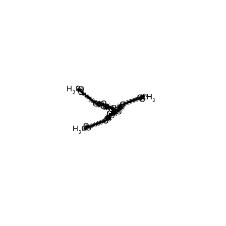 C=CC(=O)OCCCCCCCCCCCOc1ccc(C(=O)Oc2ccc(COC(=O)c3cc(OC(=O)c4ccc(OCCCCCCCCCCCOC(=O)C=C)cc4)ccc3OC(=O)c3ccc(OCCCCCCCCCCCOC(=O)C=C)cc3)cc2)cc1